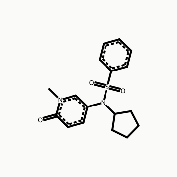 Cn1cc(N(C2CCCC2)S(=O)(=O)c2ccccc2)ccc1=O